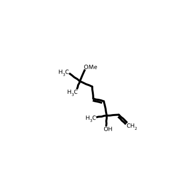 C=CC(C)(O)C=CCC(C)(C)OC